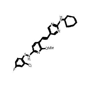 COc1nc(NSc2ccc(F)cc2Cl)ccc1/C=C/c1cnc(NC2CCCCC2)nc1